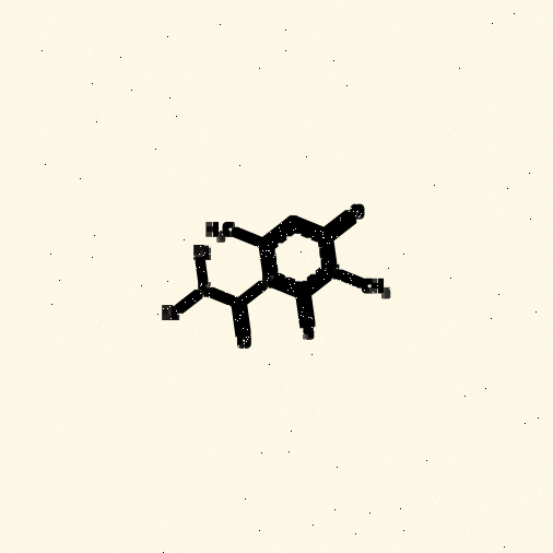 CCN(CC)C(=O)n1c(C)cc(=O)n(C)c1=S